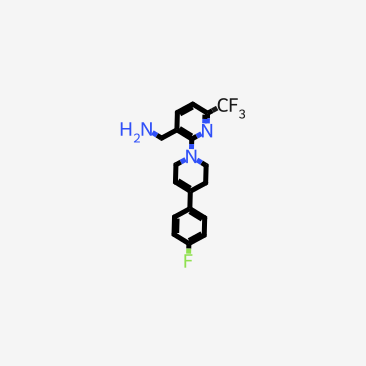 NCc1ccc(C(F)(F)F)nc1N1CC=C(c2ccc(F)cc2)CC1